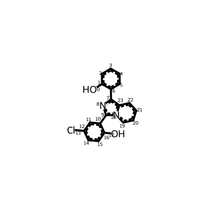 Oc1ccccc1-c1nc(-c2cc(Cl)ccc2O)n2ccccc12